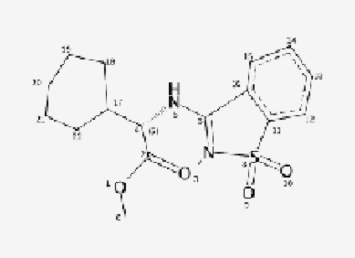 COC(=O)[C@@H](NC1=NS(=O)(=O)c2ccccc21)C1CCCCC1